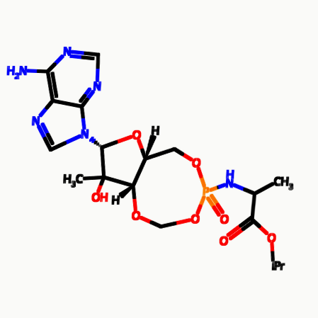 CC(C)OC(=O)C(C)NP1(=O)OCO[C@H]2[C@@H](CO1)O[C@@H](n1cnc3c(N)ncnc31)C2(C)O